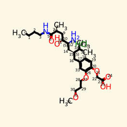 CCCCNC(=O)[C@H](C)C[C@H](O)[C@@H](N)C[C@H](Cc1ccc(OCC(=O)O)c(OCCCOC)c1)C(C)C.Cl